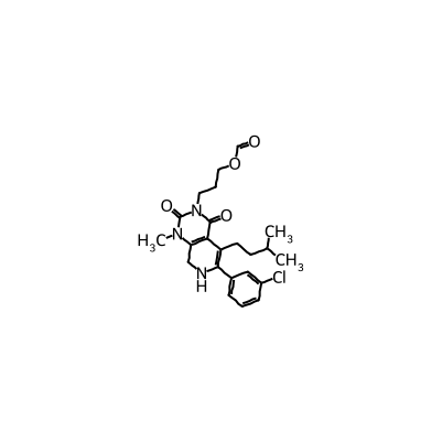 CC(C)CCC1=C(c2cccc(Cl)c2)NCc2c1c(=O)n(CCCOC=O)c(=O)n2C